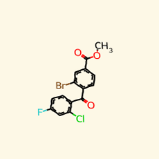 COC(=O)c1ccc(C(=O)c2ccc(F)cc2Cl)c(Br)c1